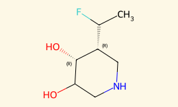 CC(F)[C@@H]1CNCC(O)[C@@H]1O